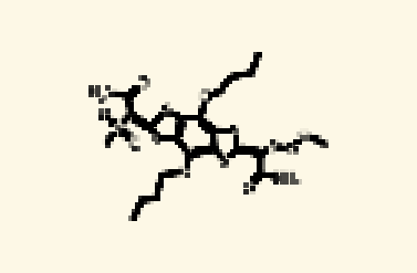 CCCCOc1c2c(c(OCCCC)c3c1SC(=C(C(N)=O)S(C)(=O)=O)S3)SC(=C(SOOC)C(N)=O)S2